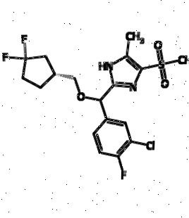 Cc1[nH]c(C(OC[C@@H]2CCC(F)(F)C2)c2ccc(F)c(Cl)c2)nc1S(C)(=O)=O